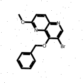 COc1ccc2ncc(Br)c(OCc3ccccc3)c2n1